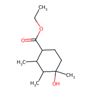 CCOC(=O)C1CCC(C)(O)C(C)C1C